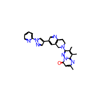 Cc1cc(=O)n2nc(N3CCc4ncc(-c5cnn(-c6ccccn6)c5)cc4C3)c(C)c(C)c2n1